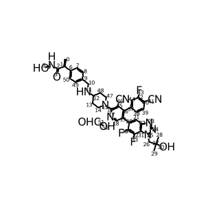 C=C(C(=O)NO)c1ccc(CNC2CCN(c3ncc(-c4cc5nnn(CC(C)(C)O)c5c(F)c4F)c(-c4ccc(C#N)c(F)c4)c3C#N)CC2)cc1.O=CO